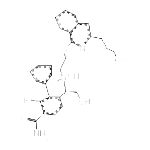 CCCCc1cc2ccccc2c(OCC[N+](C)(C)[C@@H](CC)c2ccc(C(N)=O)c(O)c2-c2ccccc2)n1